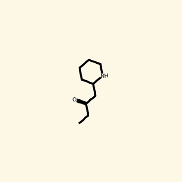 CCC(=O)CC1CCCCN1